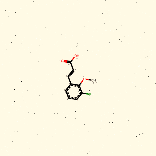 COc1c(F)cccc1C=CC(=O)O